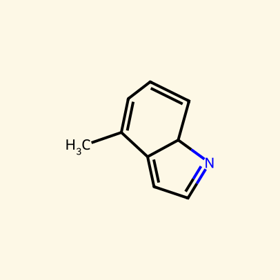 CC1=CC=CC2N=CC=C12